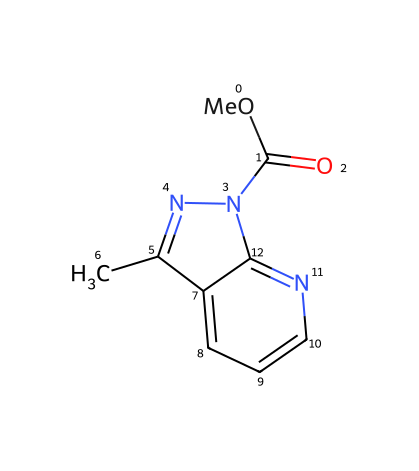 COC(=O)n1nc(C)c2cccnc21